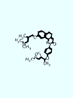 CC(COc1ccc2c(c1)-c1nn(-c3ccc(OC(C)CCN(C)C)cc3)c(=O)cc1CC2)CN(C)C